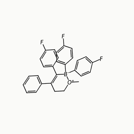 C[O+]1CCC(c2ccccc2)=C(c2ccc(F)cc2)[B-]1(c1ccc(F)cc1)c1ccc(F)cc1